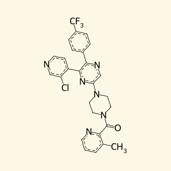 Cc1cccnc1C(=O)N1CCN(c2cnc(-c3ccc(C(F)(F)F)cc3)c(-c3ccncc3Cl)n2)CC1